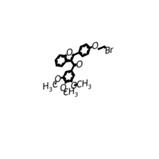 COc1cc(C(=O)c2c(-c3ccc(OCCBr)cc3)oc3ccccc23)cc(OC)c1OC